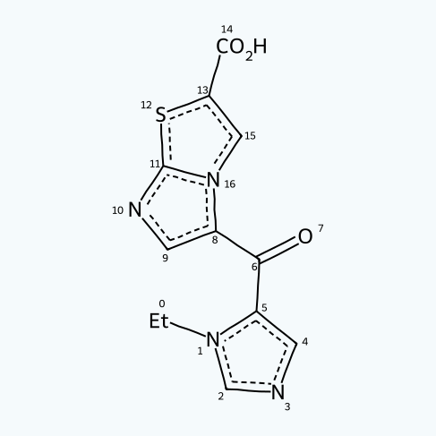 CCn1cncc1C(=O)c1cnc2sc(C(=O)O)cn12